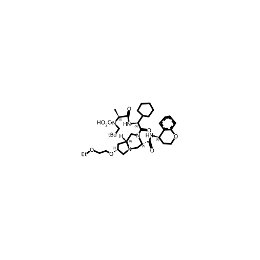 CCOCCO[C@@H]1C[C@@H]2CN(C(=O)[C@@H](NC(=O)[C@H](C)N(CC(C)(C)C)C(=O)O)C3CCCCC3)[C@H](C(=O)N[C@@H]3CCOc4ccccc43)CN2C1